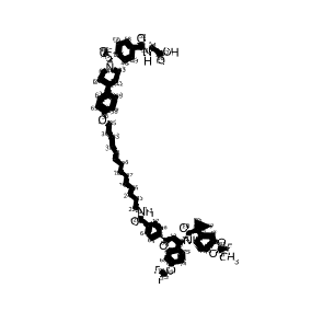 CC1(F)Oc2ccc(C3(C(=O)N[C@@H]4C[C@H](c5ccc(C(=O)NCCCCCCCCCCCCCCOc6ccc(C7CCN([S+]([O-])c8ccc(C(=O)NCC(=O)O)cc8)CC7)cc6)cc5)Oc5cc(OC(F)F)ccc54)CC3)cc2O1